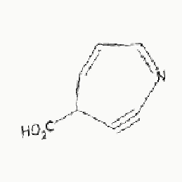 O=C(O)C1C#CN=CC=C1